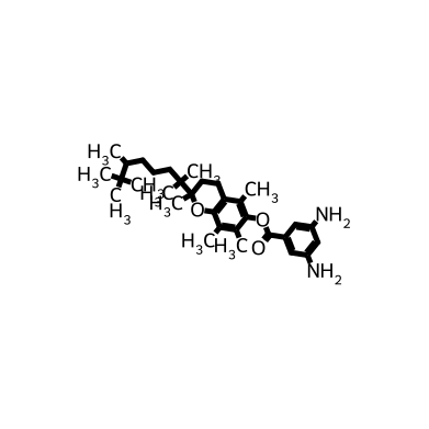 Cc1c(C)c2c(c(C)c1OC(=O)c1cc(N)cc(N)c1)CCC(C)(C(C)(C)CCCC(C)C(C)(C)C)O2